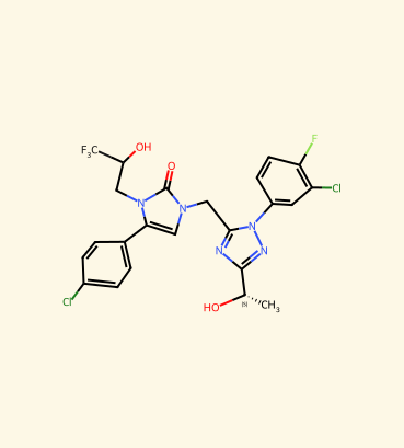 C[C@H](O)c1nc(Cn2cc(-c3ccc(Cl)cc3)n(CC(O)C(F)(F)F)c2=O)n(-c2ccc(F)c(Cl)c2)n1